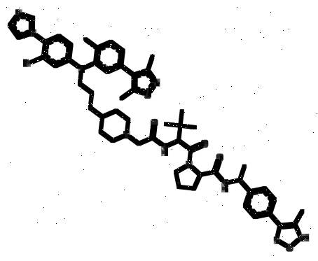 CC1=C(c2ccc(C(C)NC(=O)C3CCCN3C(=O)C(NC(=O)CN3CCC(CCCN(c4ccc(-n5ccnc5)c(Br)c4)c4cc(-c5c(C)noc5C)ccc4C)CC3)C(C)(C)C)cc2)SON1